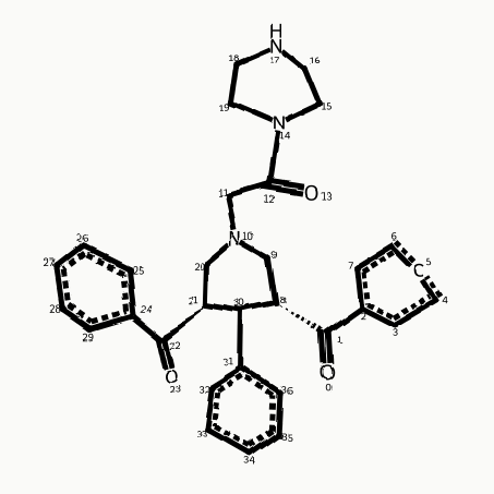 O=C(c1ccccc1)[C@H]1CN(CC(=O)N2CCNCC2)C[C@H](C(=O)c2ccccc2)C1c1ccccc1